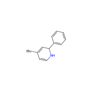 CC(C)(C)C1=CC(c2ccccc2)NC=C1